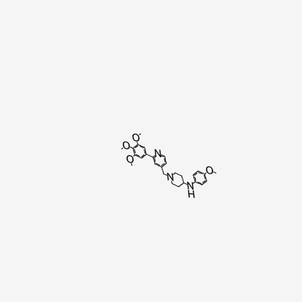 COc1ccc(NC2CCN(Cc3ccnc(-c4cc(OC)c(OC)c(OC)c4)c3)CC2)cc1